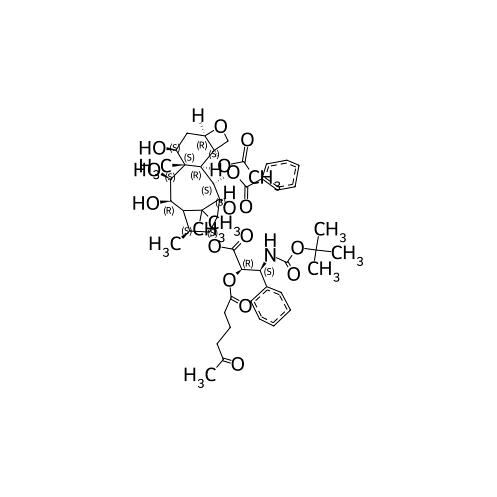 CC(=O)CCCC(=O)O[C@@H](C(=O)O[C@H]1C[C@@]2(O)[C@@H](OC(=O)c3ccccc3)[C@@H]3[C@]4(OC(C)=O)CO[C@@H]4C[C@H](O)[C@@]3(C)[C@H](O)[C@H](O)C([C@@H]1C)C2(C)C)[C@@H](NC(=O)OC(C)(C)C)c1ccccc1